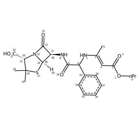 CCCOC(=O)C=C(C)NC(C(=O)N[C@@H]1C(=O)N2[C@@H]1SC(C)(C)[C@@H]2C(=O)O)c1ccccc1